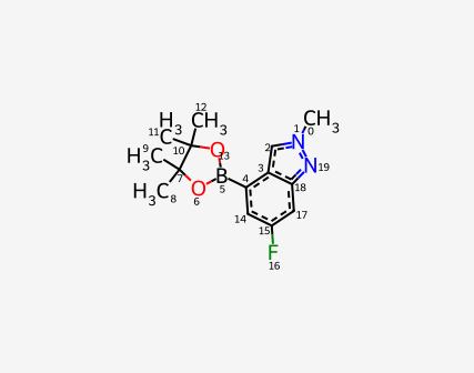 Cn1cc2c(B3OC(C)(C)C(C)(C)O3)cc(F)cc2n1